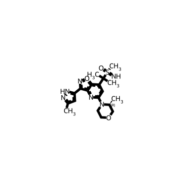 Cc1cc(-c2noc3c(C(C)(C)S(C)(=N)=O)cc(N4CCOC[C@H]4C)nc23)[nH]n1